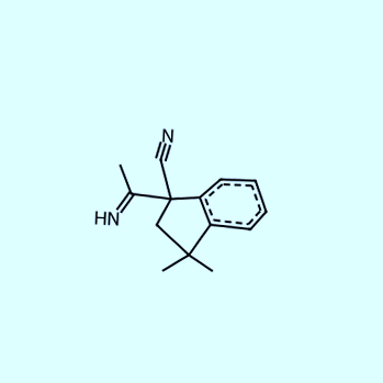 CC(=N)C1(C#N)CC(C)(C)c2ccccc21